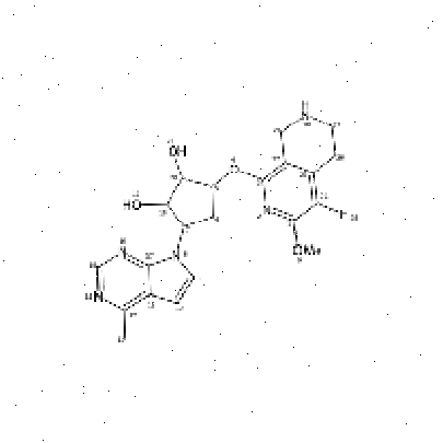 COc1nc(OC2CC(n3ccc4c(C)ncnc43)C(O)C2O)c2c(c1F)CCNC2